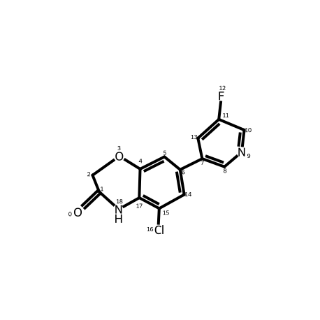 O=C1COc2cc(-c3cncc(F)c3)cc(Cl)c2N1